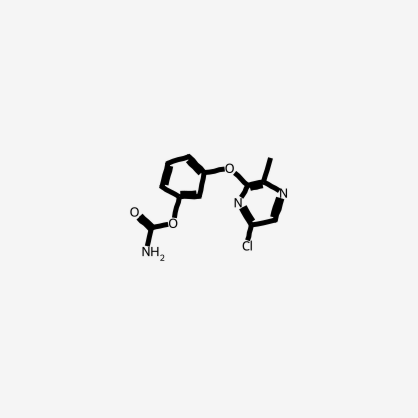 Cc1ncc(Cl)nc1Oc1cccc(OC(N)=O)c1